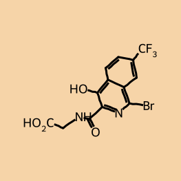 O=C(O)CNC(=O)c1nc(Br)c2cc(C(F)(F)F)ccc2c1O